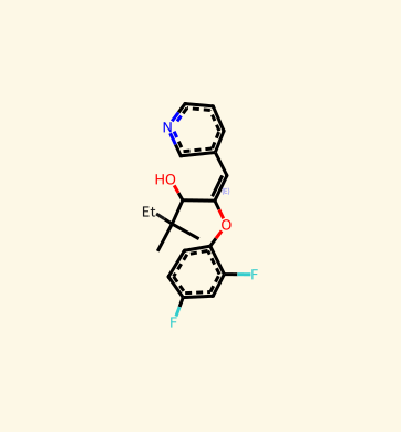 CCC(C)(C)C(O)/C(=C\c1cccnc1)Oc1ccc(F)cc1F